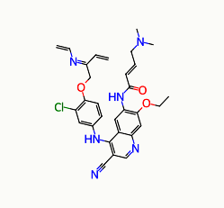 C=C/N=C(\C=C)COc1ccc(Nc2c(C#N)cnc3cc(OCC)c(NC(=O)/C=C/CN(C)C)cc23)cc1Cl